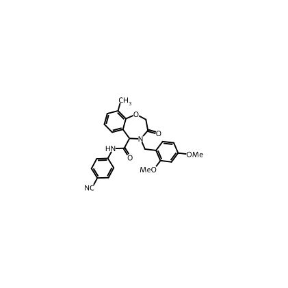 COc1ccc(CN2C(=O)COc3c(C)cccc3C2C(=O)Nc2ccc(C#N)cc2)c(OC)c1